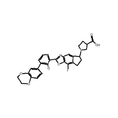 O=C(O)C1CCN(C2CCc3c2cc2nc(-c4cccc(-c5ccc6c(c5)OCCO6)c4Cl)oc2c3F)C1